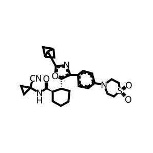 N#CC1(NC(=O)[C@@H]2CCCC[C@H]2c2oc(C3C4CC3C4)nc2-c2ccc(N3CCS(=O)(=O)CC3)cc2)CC1